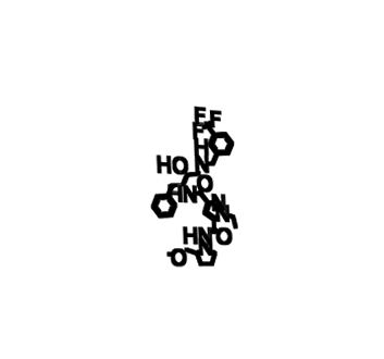 CCn1nc(C(=O)N[C@@H](Cc2ccccc2)[C@H](O)CNCc2cccc(C(F)(F)F)c2)cc1C(=O)NN1CCCC1COC